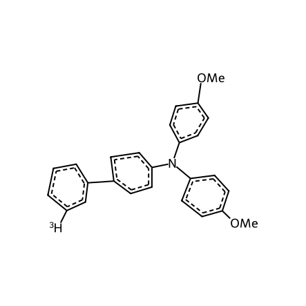 [3H]c1cccc(-c2ccc(N(c3ccc(OC)cc3)c3ccc(OC)cc3)cc2)c1